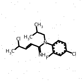 CC(Cl)/C=C/C(=N)N(CC(C)C)c1ccc(Cl)cc1F